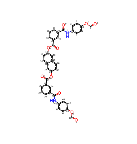 O=COc1ccc(NC(=O)c2cccc(C(=O)Oc3ccc4cc(OC(=O)c5cccc(C(=O)Nc6ccc(OC=O)cc6)c5)ccc4c3)c2)cc1